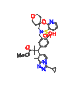 COC(=O)C(C)(C)C(c1ccc(C)c(CN2CC3(CCOCC3)Oc3ncccc3S2(O)O)c1)c1ccn2c(C3CC3)nnc2c1C